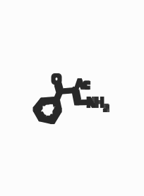 CC(=O)C(=CN)C(=O)c1ccccc1